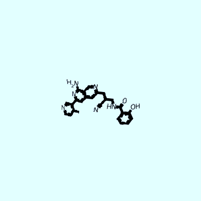 Cc1ccncc1-c1cc2cc(CC(C#N)CNC(=O)c3ccccc3O)ncc2c(N)n1